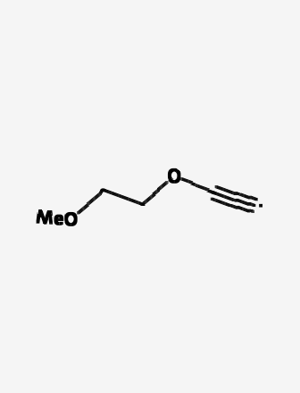 [C]#COCCOC